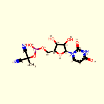 CC(C#N)(C#N)OP(O)OC[C@@H]1O[C@H](n2ccc(=O)[nH]c2=O)C(O)C1O